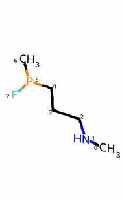 CNCCCP(C)F